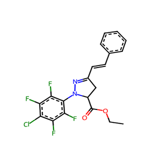 CCOC(=O)C1CC(C=Cc2ccccc2)=NN1c1c(F)c(F)c(Cl)c(F)c1F